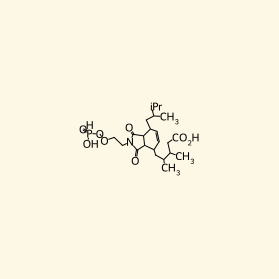 CC(C)C(C)CC1C=CC(CC(C)C(C)CC(=O)O)C2C(=O)N(CCOO[PH](=O)O)C(=O)C12